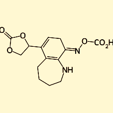 O=C(O)ON=C1CC=C(C2COC(=O)O2)C2=C1NCCCC2